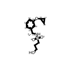 C[C@@H](NS(=O)(=O)CCCO)c1cccc(OC2CC2)c1